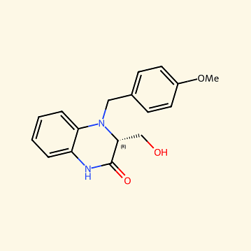 COc1ccc(CN2c3ccccc3NC(=O)[C@H]2CO)cc1